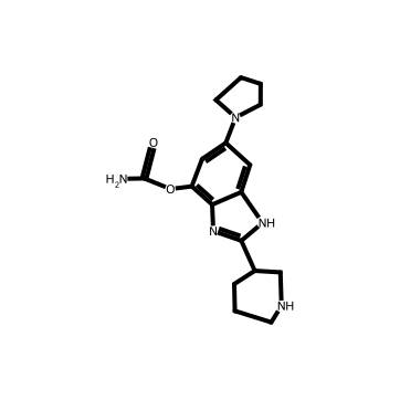 NC(=O)Oc1cc(N2CCCC2)cc2[nH]c(C3CCCNC3)nc12